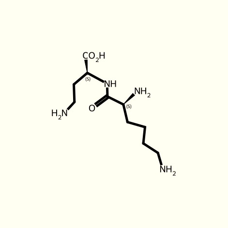 NCCCC[C@H](N)C(=O)N[C@@H](CCN)C(=O)O